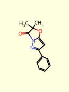 CC1(C)Oc2cc(-c3ccccc3)nn2C1=O